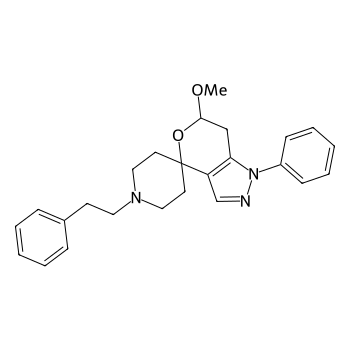 COC1Cc2c(cnn2-c2ccccc2)C2(CCN(CCc3ccccc3)CC2)O1